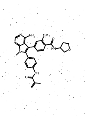 C=C(C)C(=O)Nc1ccc(-c2c(-c3ccc(C(=O)NC4CCOC4)c(OC)c3)c3c(N)ncnc3n2C)cc1